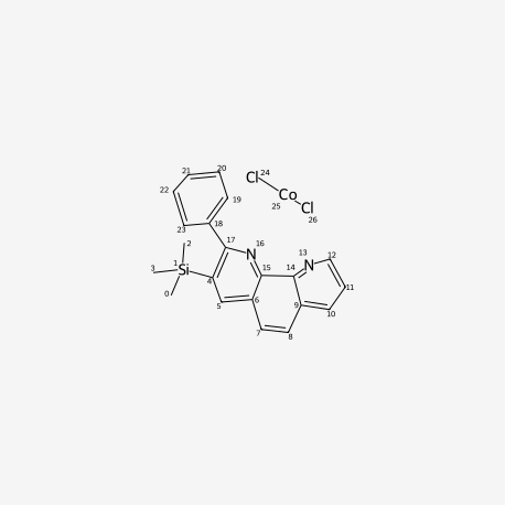 C[Si](C)(C)c1cc2ccc3cccnc3c2nc1-c1ccccc1.[Cl][Co][Cl]